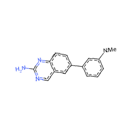 CNc1cccc(-c2ccc3nc(N)ncc3c2)c1